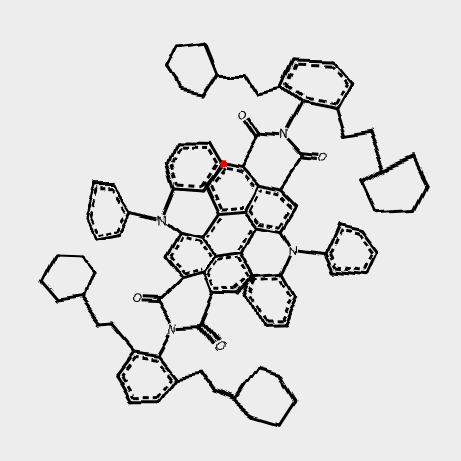 O=C1c2ccc3c4c(N(c5ccccc5)c5ccccc5)cc5c6c(ccc(c7c(N(c8ccccc8)c8ccccc8)cc(c2c37)C(=O)N1c1c(CCC2CCCCC2)cccc1CCC1CCCCC1)c64)C(=O)N(c1c(CCC2CCCCC2)cccc1CCC1CCCCC1)C5=O